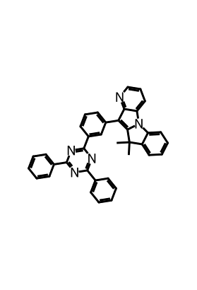 CC1(C)c2ccccc2-n2c1c(-c1cccc(-c3nc(-c4ccccc4)nc(-c4ccccc4)n3)c1)c1ncccc12